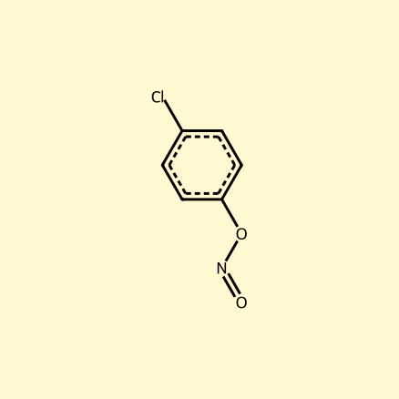 O=NOc1ccc(Cl)cc1